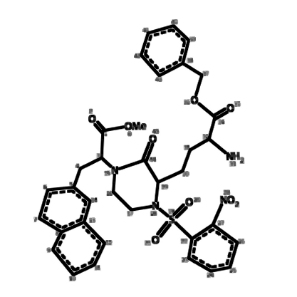 COC(=O)C(Cc1ccc2ccccc2c1)N1CCN(S(=O)(=O)c2ccccc2[N+](=O)[O-])C(CCC(N)C(=O)OCc2ccccc2)C1=O